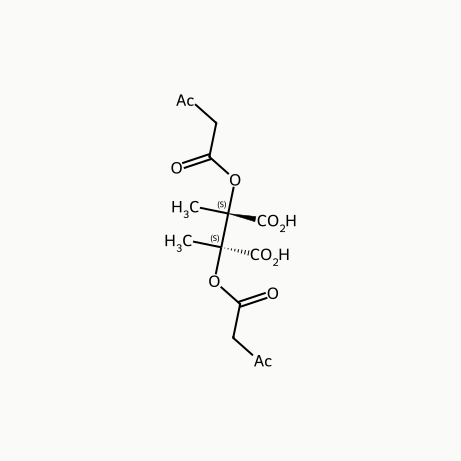 CC(=O)CC(=O)O[C@](C)(C(=O)O)[C@](C)(OC(=O)CC(C)=O)C(=O)O